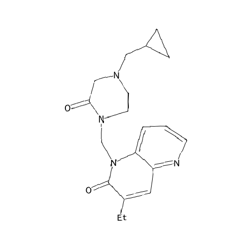 CCc1cc2ncccc2n(CN2CCN(CC3CC3)CC2=O)c1=O